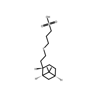 CC1(C)[C@H]2CC[C@@H](CCSCCCS(=O)(=O)O)[C@@H]1C2